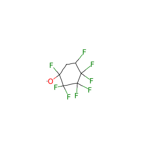 [O]C1(F)CC(F)C(F)(F)C(F)(F)C1(F)F